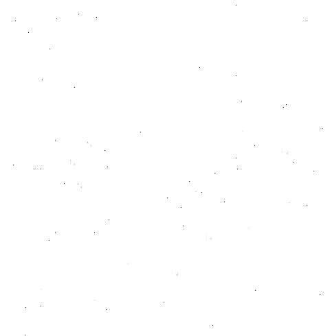 Brc1ccc(Oc2nnnc(Oc3ccc(Br)c(Br)c3Br)c2Oc2ccc(Br)c(Br)c2Br)c(Br)c1Br.Oc1ccc(Br)c(Br)c1Br